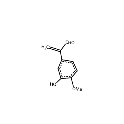 C=C(C=O)c1ccc(OC)c(O)c1